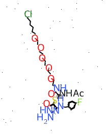 CC(=O)N[C@@H](CSc1c(NCc2ccc(F)cc2)nc(N)[nH]c1=O)C(=O)NCCOCCOCCOCCOCCOCCCCCCCl